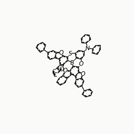 c1ccc(-c2ccc3c(c2)oc2c4c(c5oc6ccccc6c5c23)B2c3c(cc(N(c5ccccc5)c5ccccc5)cc3Sc3c2c2oc5ccccc5c2c2c3oc3cc(-c5ccccc5)ccc32)O4)cc1